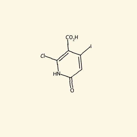 O=C(O)c1c(I)cc(=O)[nH]c1Cl